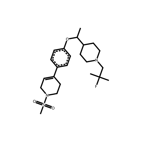 CC(Oc1ccc(C2=CCN(S(C)(=O)=O)CC2)cc1)C1CCN(CC(C)(C)F)CC1